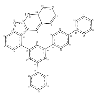 C1=CC2=Cc3c(oc4cccc(-c5nc(-c6ccccc6)nc(-c6ccc(-c7ccccc7)cc6)n5)c34)NC2C=C1